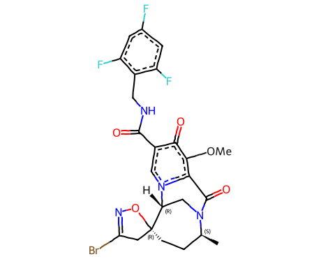 COc1c2n(cc(C(=O)NCc3c(F)cc(F)cc3F)c1=O)[C@@H]1CN(C2=O)[C@@H](C)CC[C@@]12CC(Br)=NO2